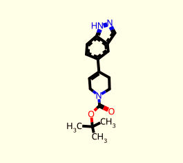 CC(C)(C)OC(=O)N1CC=C(c2ccc3[nH]ncc3c2)CC1